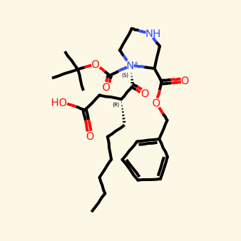 CCCCCC[C@H](CC(=O)O)C(=O)[N@+]1(C(=O)OC(C)(C)C)CCNCC1C(=O)OCc1ccccc1